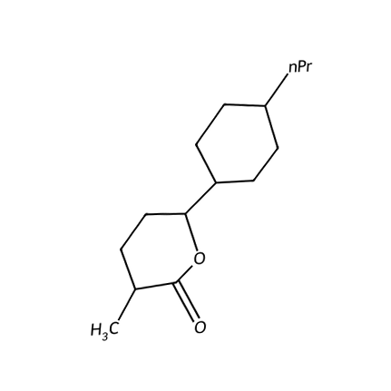 CCCC1CCC(C2CCC(C)C(=O)O2)CC1